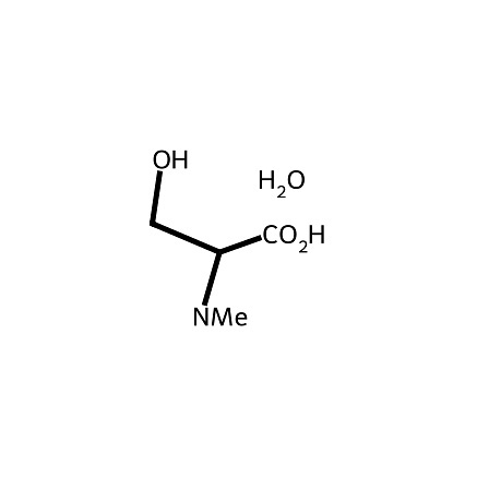 CNC(CO)C(=O)O.O